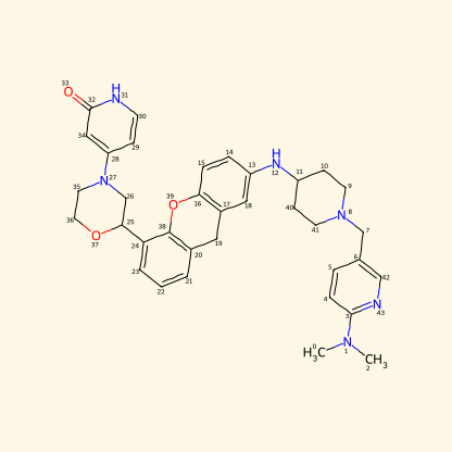 CN(C)c1ccc(CN2CCC(Nc3ccc4c(c3)Cc3cccc(C5CN(c6cc[nH]c(=O)c6)CCO5)c3O4)CC2)cn1